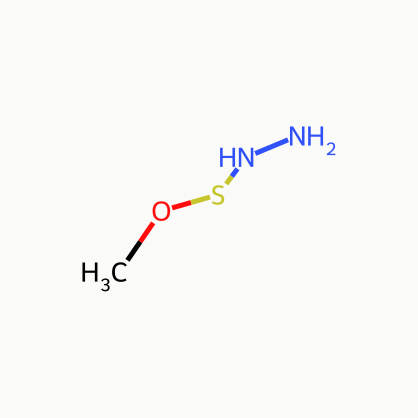 COSNN